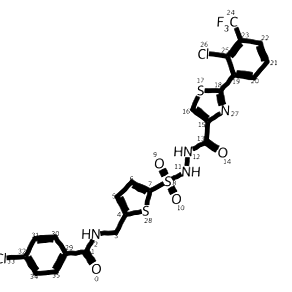 O=C(NCc1ccc(S(=O)(=O)NNC(=O)c2csc(-c3cccc(C(F)(F)F)c3Cl)n2)s1)c1ccc(Cl)cc1